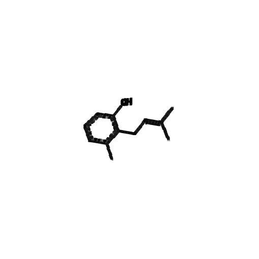 CC(C)=CCc1c(C)cccc1O